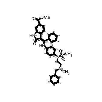 COC(=O)c1ccc2c(c1)NC(=O)/C2=C(\Nc1ccc(N(CCN(C)Cc2ccccc2)S(C)(=O)=O)cc1)c1ccccc1